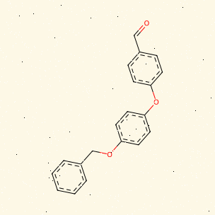 O=Cc1ccc(Oc2ccc(OCc3ccccc3)cc2)cc1